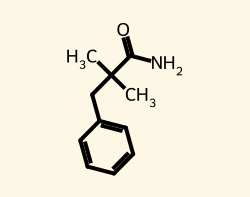 CC(C)(Cc1ccccc1)C(N)=O